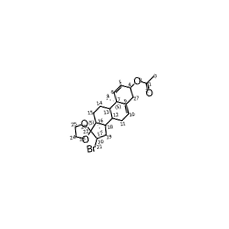 CC(=O)OC1C=C[C@@]2(C)C(=CCC3C2CC[C@@]2(C)C3CC(Br)C23OCCO3)C1